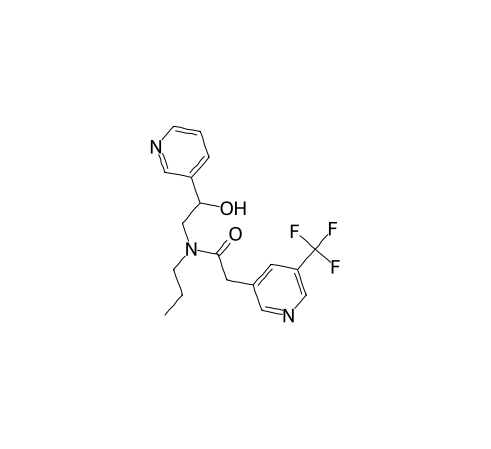 CCCN(CC(O)c1cccnc1)C(=O)Cc1cncc(C(F)(F)F)c1